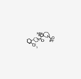 CC(C)C(=O)N1CCCc2[nH]nc(C(=O)N3CCC(c4ccccc4C(F)(F)F)CC3)c2C1